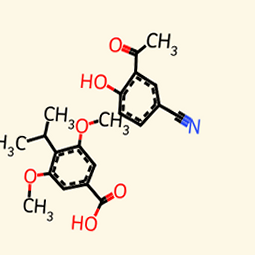 CC(=O)c1cc(C#N)ccc1O.COc1cc(C(=O)O)cc(OC)c1C(C)C